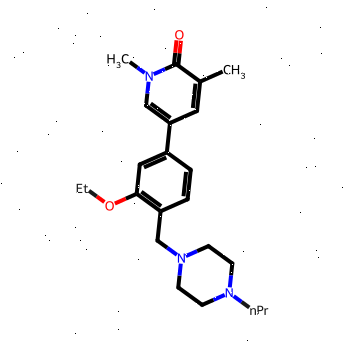 CCCN1CCN(Cc2ccc(-c3cc(C)c(=O)n(C)c3)cc2OCC)CC1